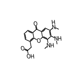 CNc1cc2c(=O)c3cccc(CC(=O)O)c3oc2c(NC)c1NC